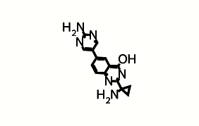 Nc1ncc(-c2ccc3nc(C4(N)CC4)nc(O)c3c2)cn1